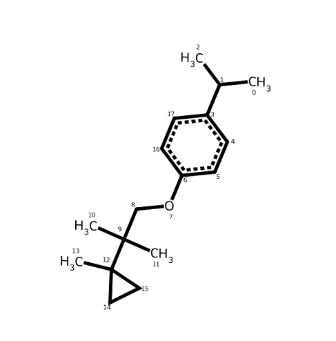 CC(C)c1ccc(OCC(C)(C)C2(C)CC2)cc1